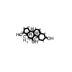 C[C@]12CCC(O)CC1=CC[C@@H]1[C@H]2C(O)C[C@]2(C)C(O)CC[C@@H]12